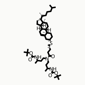 CC(C)CCC[C@@H](C)[C@H]1CC[C@H]2[C@@H]3CC=C4C[C@@H](SSCCC(=O)N(CCC(C)NC(=O)OC(C)(C)C)CCC(C)NC(=O)OC(C)(C)C)CC[C@]4(C)[C@H]3CC[C@]12C